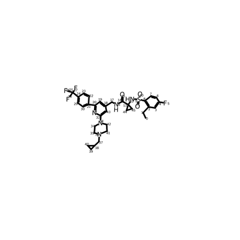 CCc1cc(F)ccc1S(=O)(=O)NC1(C(=O)NCc2cc(-c3ccc(C(F)(F)F)cc3)nc(N3CCN(CC4CC4)CC3)c2)CC1